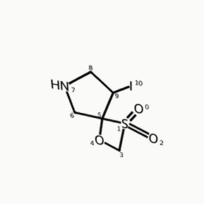 O=S1(=O)COC12CNCC2I